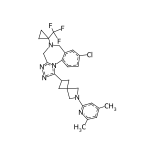 Cc1cc(C)nc(N2CC3(CC(c4nnc5n4-c4ccc(Cl)cc4CN(C4(C(F)(F)F)CC4)C5)C3)C2)c1